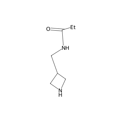 CCC(=O)NCC1CNC1